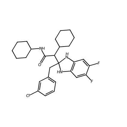 O=C(NC1CCCCC1)C(C1CCCCC1)C1(Cc2cccc(Cl)c2)Nc2cc(F)c(F)cc2N1